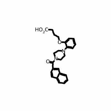 O=C(O)CCCOc1ccccc1N1CCN(C(=O)c2ccc3ccccc3c2)CC1